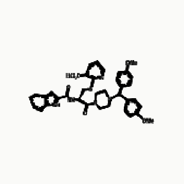 CCOC(=O)c1cccnc1SC[C@H](NC(=O)c1cc2ccccc2[nH]1)C(=O)N1CCN(C(c2ccc(OC)cc2)c2ccc(OC)cc2)CC1